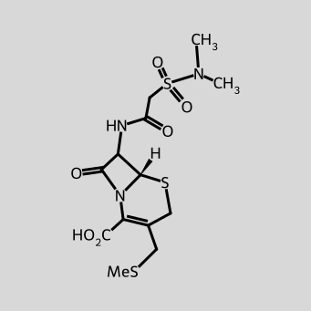 CSCC1=C(C(=O)O)N2C(=O)C(NC(=O)CS(=O)(=O)N(C)C)[C@@H]2SC1